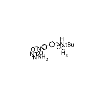 C[C@H](NC(=O)C[C@H]1CC[C@H](c2ccc(N3CCOc4ncnc(N)c4C3=O)cc2)CC1)C(C)(C)C